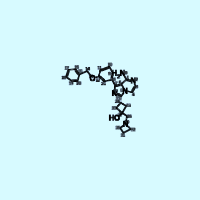 Nc1nccn2c1c(-c1cccc(OCc3ccccc3)c1)nc2[C@H]1C[C@@](O)(CN2CCC2)C1